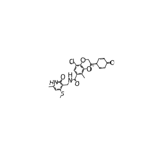 CSc1cc(C)[nH]c(=O)c1CNC(=O)c1cc(Cl)c2c(c1C)O[C@H](C1CCC(=O)CC1)CO2